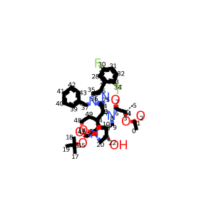 CC(=O)O[C@@H](C)C(=O)N(C[C@H]1CN(C(=O)OC(C)(C)C)C[C@@H]1O)[C@@H](c1nc(-c2cc(F)ccc2F)cn1Cc1ccccc1)C1CCOCC1